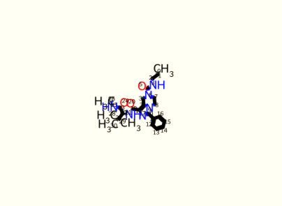 CCCNC(=O)N1CCn2c(-c3ccccc3)nc(C(=O)N[C@H](C(=O)NC)C(C)(C)C)c2C1